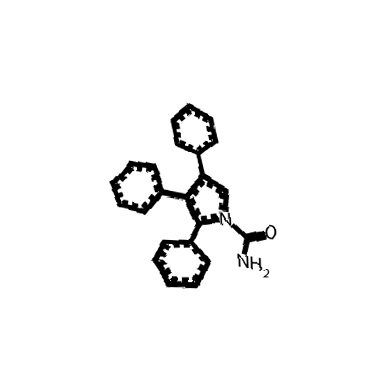 NC(=O)n1cc(-c2ccccc2)c(-c2ccccc2)c1-c1ccccc1